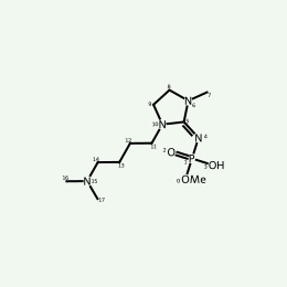 COP(=O)(O)/N=C1/N(C)CCN1CCCCN(C)C